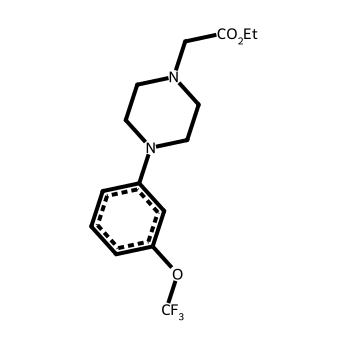 CCOC(=O)CN1CCN(c2cccc(OC(F)(F)F)c2)CC1